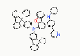 c1ccc(N(c2ccc(-c3cccnc3)cc2)c2cccc3oc4c(N(c5ccc6c(c5)-c5ccccc5C65c6ccccc6-c6ccccc65)c5ccc6c(c5)C5(CCCC5)c5ccccc5-6)cccc4c23)cc1